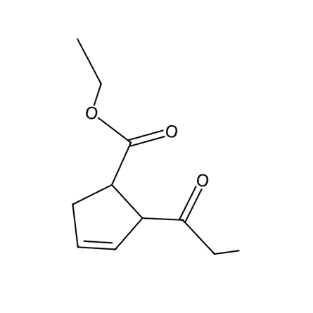 CCOC(=O)C1CC=CC1C(=O)CC